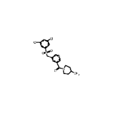 CC1CCN(C(=O)c2cncc(CS(=O)(=O)c3cc(Cl)cc(Cl)c3)c2)CC1